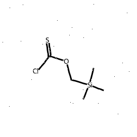 C[Si](C)(C)COC(=S)Cl